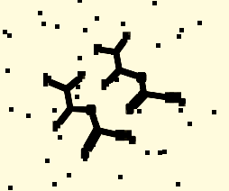 NC(=S)OC(F)C(F)F.NC(=S)OC(F)C(F)F